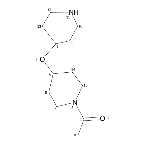 CC(=O)N1CCC(OC2CCNCC2)CC1